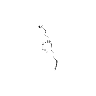 CCCC[SiH](CCCCN=C=O)OC